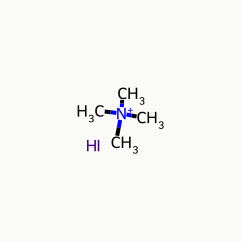 C[N+](C)(C)C.I